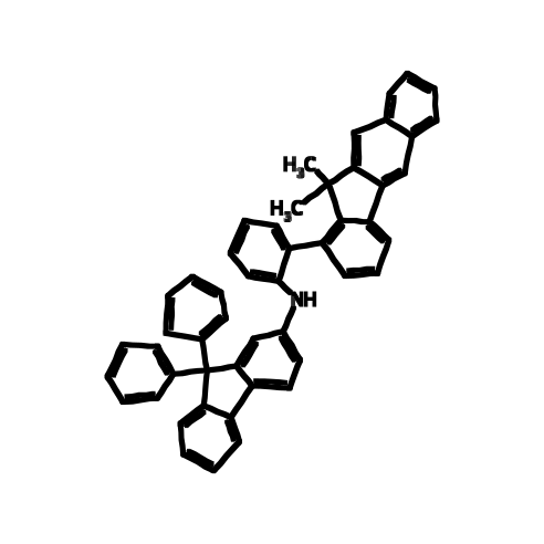 CC1(C)c2cc3ccccc3cc2-c2cccc(-c3ccccc3Nc3ccc4c(c3)C(c3ccccc3)(c3ccccc3)c3ccccc3-4)c21